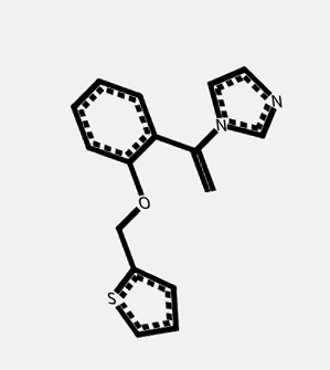 C=C(c1ccccc1OCc1cccs1)n1ccnc1